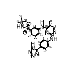 Cc1cnc(Nc2ccc(-c3nnn[nH]3)cc2)nc1Nc1cccc(S(=O)(=O)NC(C)(C)C)c1